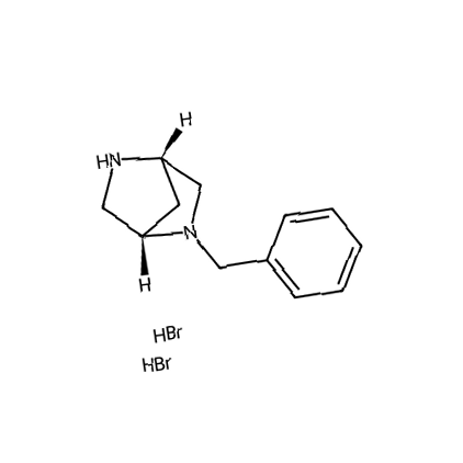 Br.Br.c1ccc(CN2C[C@@H]3C[C@H]2CN3)cc1